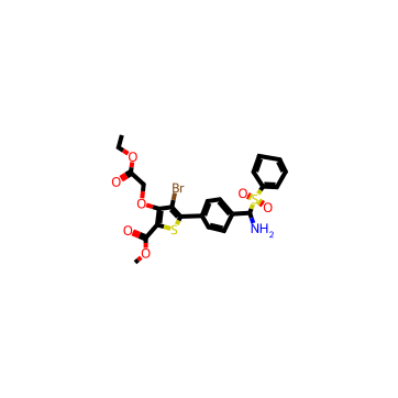 CCOC(=O)COc1c(C(=O)OC)sc(-c2ccc(C(N)S(=O)(=O)c3ccccc3)cc2)c1Br